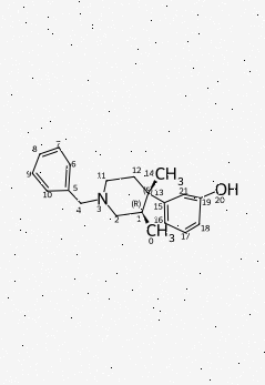 C[C@H]1CN(Cc2ccccc2)CC[C@]1(C)c1cccc(O)c1